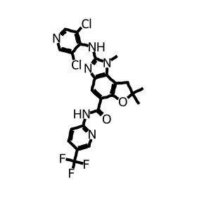 Cn1c(Nc2c(Cl)cncc2Cl)nc2cc(C(=O)Nc3ccc(C(F)(F)F)cn3)c3c(c21)CC(C)(C)O3